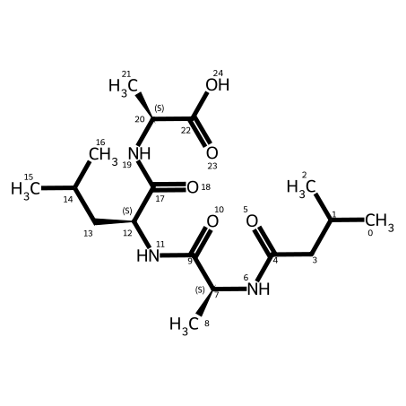 CC(C)CC(=O)N[C@@H](C)C(=O)N[C@@H](CC(C)C)C(=O)N[C@@H](C)C(=O)O